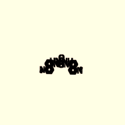 CN(C)c1cccc2c(NNS(=O)(=O)NNc3cccc4c(N(C)C)cccc34)cccc12